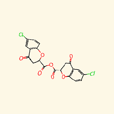 O=C1CC(C(=O)OC(=O)[C@@H]2CC(=O)c3cc(Cl)ccc3O2)Oc2ccc(Cl)cc21